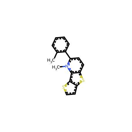 Cc1ccccc1-c1ccc2sc3ccsc3c2[n+]1C